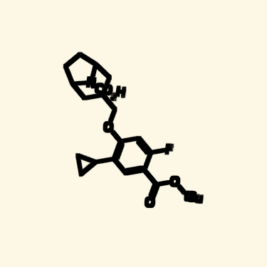 CC(C)(C)OC(=O)c1cc(C2CC2)c(OCC2CC3CCC(C2)N3C(=O)O)cc1F